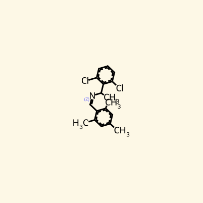 Cc1cc(C)c(/C=N\C(C)c2c(Cl)cccc2Cl)c(C)c1